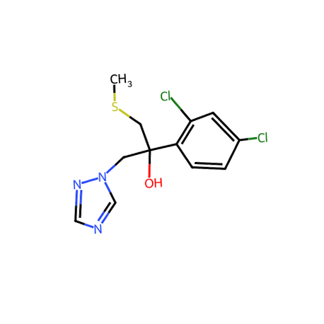 CSCC(O)(Cn1cncn1)c1ccc(Cl)cc1Cl